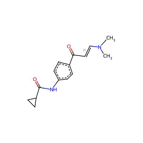 CN(C)/C=C/C(=O)c1ccc(NC(=O)C2CC2)cc1